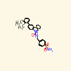 Cc1cccc(-c2ccc3c(c2)C2(CCCC2)CN3C(=O)NCc2ccc(S(N)(=O)=O)cc2)c1C